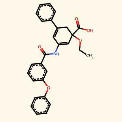 CCOC1(C(=O)O)C=C(NC(=O)c2cccc(Oc3ccccc3)c2)C=C(c2ccccc2)C1